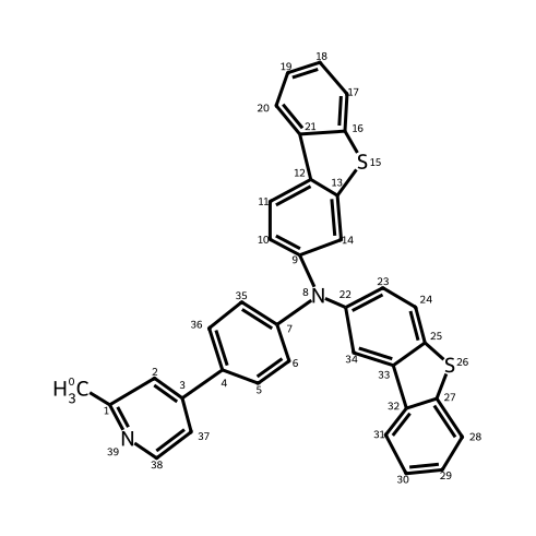 Cc1cc(-c2ccc(N(c3ccc4c(c3)sc3ccccc34)c3ccc4sc5ccccc5c4c3)cc2)ccn1